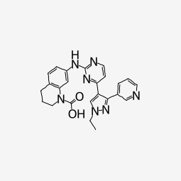 CCn1cc(-c2ccnc(Nc3ccc4c(c3)N(C(=O)O)CCC4)n2)c(-c2cccnc2)n1